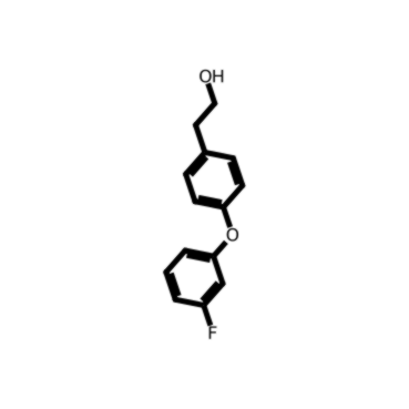 OCCc1ccc(Oc2cccc(F)c2)cc1